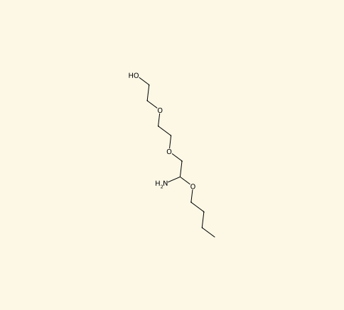 CCCCOC(N)COCCOCCO